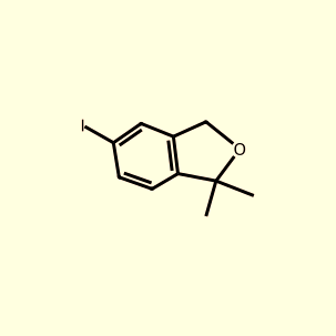 CC1(C)OCc2cc(I)ccc21